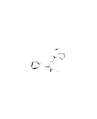 CCOC(=O)C(COc1ccccc1)N[C@@H](C)C(=O)N1CCC[C@H]1C(=O)O